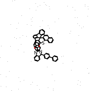 c1ccc(-c2ccc(-c3nc(-c4ccc(-c5cccc6c5C5(c7ccccc7-6)c6ccc7ccccc7c6Sc6c5ccc5ccccc65)cc4)nc4ccccc34)cc2)cc1